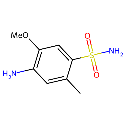 COc1cc(S(N)(=O)=O)c(C)cc1N